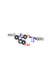 CCN(Cc1ccc(OCCNCCOC)cc1)c1cc(OC)ccc1C1CCc2cc(O)ccc2C1